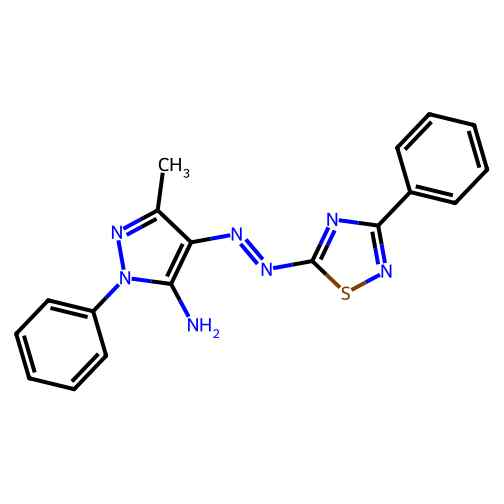 Cc1nn(-c2ccccc2)c(N)c1N=Nc1nc(-c2ccccc2)ns1